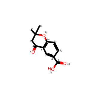 CC1(C)CC(=O)c2cc(C(=O)O)ccc2O1